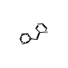 C1=CNC(=Cc2cccnc2)C=N1